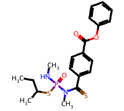 CCC(C)SP(=O)(NC)N(C)C(=S)c1ccc(C(=O)Oc2ccccc2)cc1